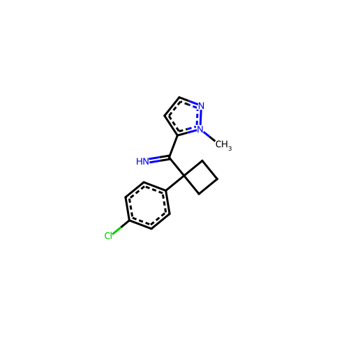 Cn1nccc1C(=N)C1(c2ccc(Cl)cc2)CCC1